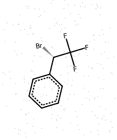 FC(F)(F)[C@@H](Br)c1ccccc1